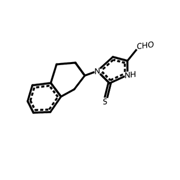 O=Cc1cn(C2CCc3ccccc3C2)c(=S)[nH]1